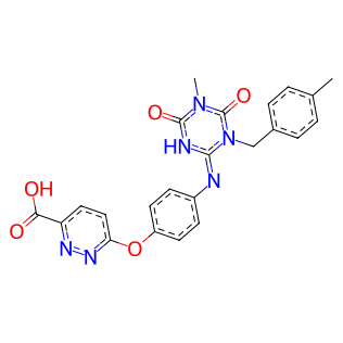 Cc1ccc(Cn2c(=O)n(C)c(=O)[nH]/c2=N\c2ccc(Oc3ccc(C(=O)O)nn3)cc2)cc1